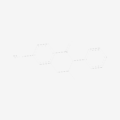 COc1ccc2c(c1)CC(C)C(c1ccccc1)C2=O